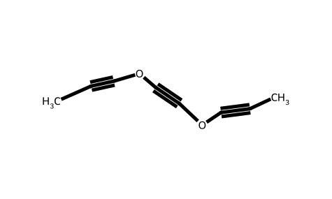 CC#COC#COC#CC